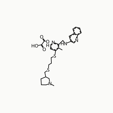 Cc1c(SCCCSCC2CCCN(C)C2)ccnc1CNc1cnc2ccccc2c1.O=C(O)C(=O)O